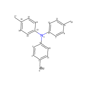 CCC(C)c1ccc(N(c2ccc(C)cc2)c2ccc(C)cc2)cc1